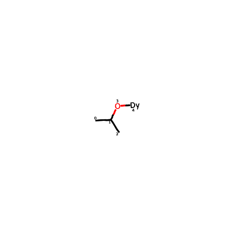 CC(C)[O][Dy]